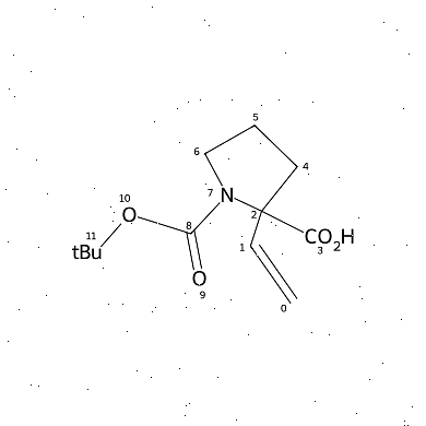 C=CC1(C(=O)O)CCCN1C(=O)OC(C)(C)C